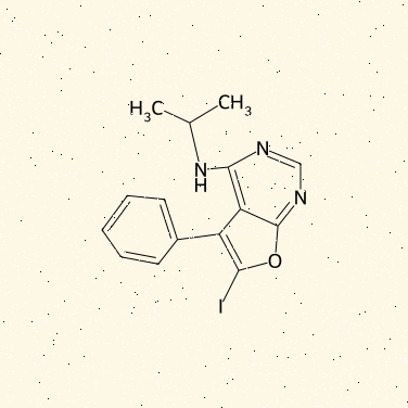 CC(C)Nc1ncnc2oc(I)c(-c3ccccc3)c12